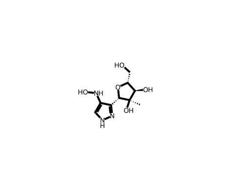 C[C@@]1(O)[C@H](O)[C@@H](CO)O[C@H]1c1n[nH]cc1NO